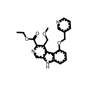 CCOC(=O)c1ncc2[nH]c3cccc(OCc4cccnc4)c3c2c1COC